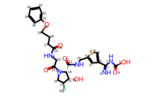 N=C(NC(=O)O)c1csc(CNC(=O)[C@@H]2[C@H](O)[C@@H](F)CN2C(=O)CNC(=O)CCCOc2ccccc2)c1